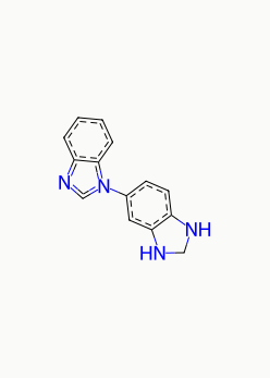 c1ccc2c(c1)ncn2-c1ccc2c(c1)NCN2